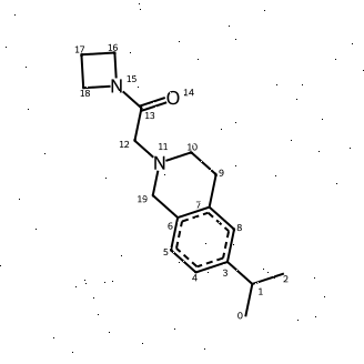 CC(C)c1ccc2c(c1)CCN(CC(=O)N1CCC1)C2